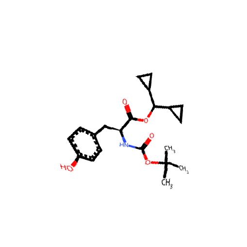 CC(C)(C)OC(=O)N[C@@H](Cc1ccc(O)cc1)C(=O)OC(C1CC1)C1CC1